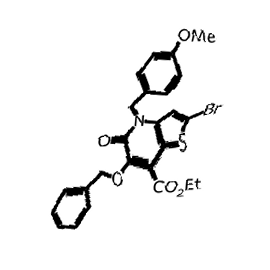 CCOC(=O)c1c(OCc2ccccc2)c(=O)n(Cc2ccc(OC)cc2)c2cc(Br)sc12